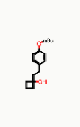 CCCCOc1ccc(CCC2(O)CCC2)cc1